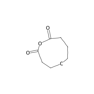 O=C1CCCCCCC(=O)O1